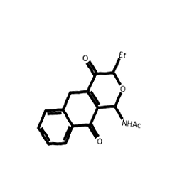 CCC1OC(NC(C)=O)C2=C(Cc3ccccc3C2=O)C1=O